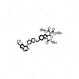 CC(C)(C)OC(=O)N(C(=O)OC(C)(C)C)C(=O)c1cc2ccc(CN3CCC4(CCN(c5ncnn6cc(CC(F)(F)F)cc56)C4)C3)cc2n1C(=O)OC(C)(C)C